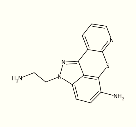 NCCn1nc2c3c(c(N)ccc31)Sc1ncccc1-2